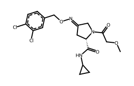 COCC(=O)N1C/C(=N/OCc2ccc(Cl)c(Cl)c2)C[C@H]1C(=O)NC1CC1